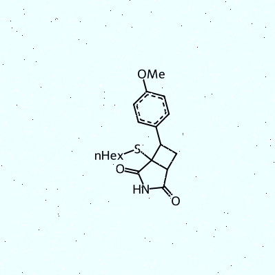 CCCCCCSC12C(=O)NC(=O)C1CC2c1ccc(OC)cc1